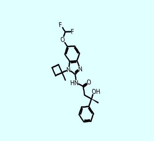 CC1(n2c(NC(=O)C[C@](C)(O)c3ccccc3)nc3ccc(OC(F)F)cc32)CCC1